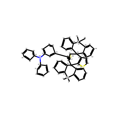 C[Si]1(C)c2ccccc2C2(c3ccccc31)c1cc(-c3cccc(N(c4ccccc4)c4ccccc4)c3)sc1C1(c3ccccc3[Si](C)(C)c3ccccc31)c1ccsc12